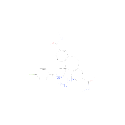 CN(C)C(=O)c1ccc2c(c1)CCc1cc(C(=O)N(C)C)ccc1C2(C[C@@H](N)c1ccc(F)cc1)c1nnn[nH]1